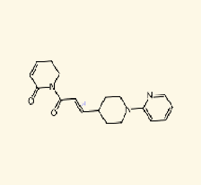 O=C1C=CCCN1C(=O)/C=C/C1CCN(c2ccccn2)CC1